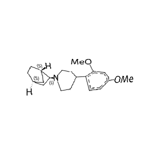 COc1ccc(C2CCN([C@H]3C[C@H]4CC[C@H]3C4)CC2)c(OC)c1